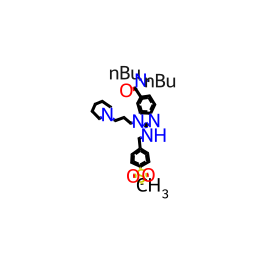 CCCCN(CCCC)C(=O)c1ccc2nc(NCc3ccc(S(C)(=O)=O)cc3)n(CCCN3CCCCC3)c2c1